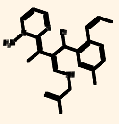 C=C(C)CN/C=C(/C(C)=C1\N=CC=CN1N)C(CC)c1cc(C)ccc1/C=C\C